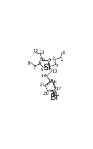 CCCC[Si](CCCC)(CCCC)CCc1ccc(Br)cc1